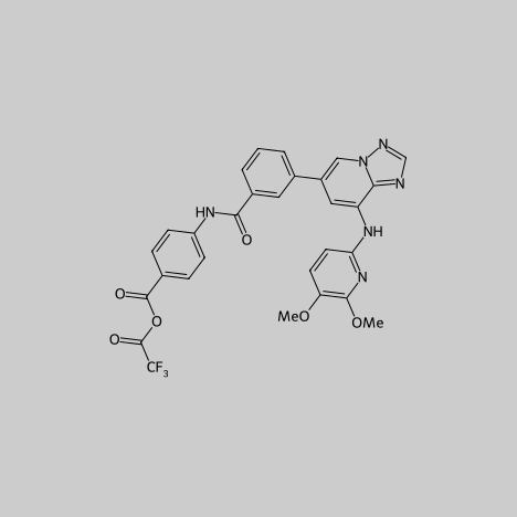 COc1ccc(Nc2cc(-c3cccc(C(=O)Nc4ccc(C(=O)OC(=O)C(F)(F)F)cc4)c3)cn3ncnc23)nc1OC